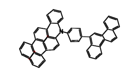 c1ccc(-c2ccc(-c3ccccc3N(c3ccc(-c4ccccc4)cc3)c3ccc(-c4cc5c6ccccc6ccc5c5ccccc45)cc3)cc2)cc1